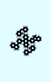 CC1(C)c2ccccc2-c2ccc(-c3c4ccc(N5c6ccccc6Cc6ccccc65)cc4c(-c4cccc(-c5cccc6ccccc56)c4)c4ccc(N5c6ccccc6Cc6ccccc65)cc34)cc21